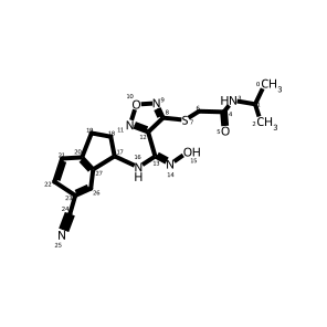 CC(C)NC(=O)CSc1nonc1/C(=N\O)NC1CCc2ccc(C#N)cc21